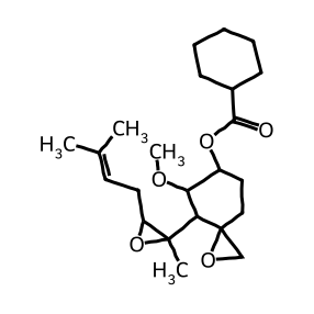 COC1C(OC(=O)C2CCCCC2)CCC2(CO2)C1C1(C)OC1CC=C(C)C